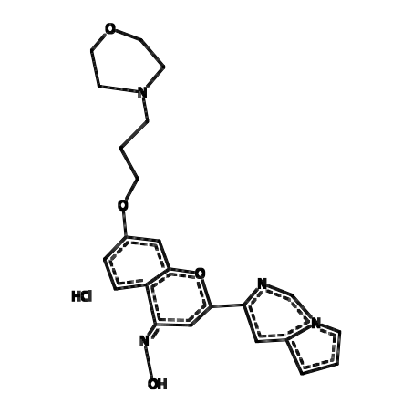 Cl.ON=c1cc(-c2cc3cccn3cn2)oc2cc(OCCCN3CCOCC3)ccc12